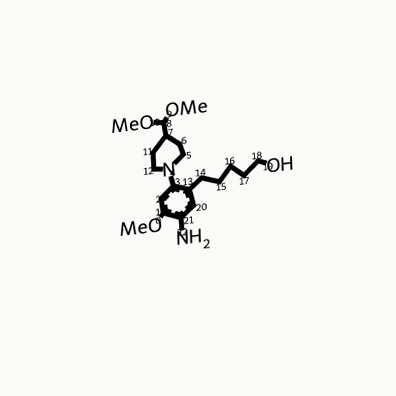 COc1cc(N2CCC(C(OC)OC)CC2)c(CCCCCO)cc1N